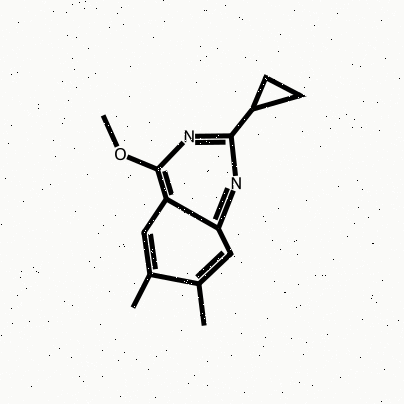 COc1nc(C2CC2)nc2cc(C)c(C)cc12